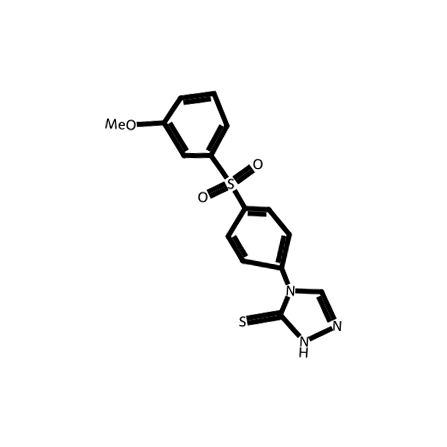 COc1cccc(S(=O)(=O)c2ccc(-n3cn[nH]c3=S)cc2)c1